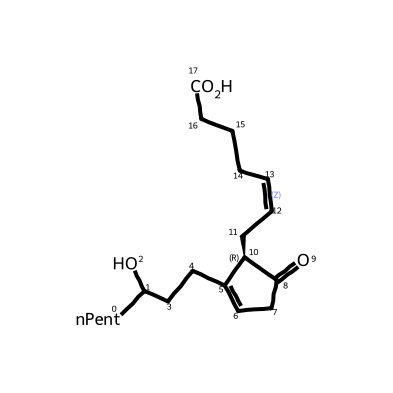 CCCCCC(O)CCC1=CCC(=O)[C@@H]1C/C=C\CCCC(=O)O